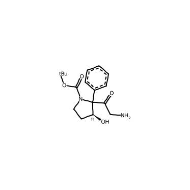 CC(C)(C)OC(=O)N1CC[C@H](O)C1(C(=O)CN)c1ccccc1